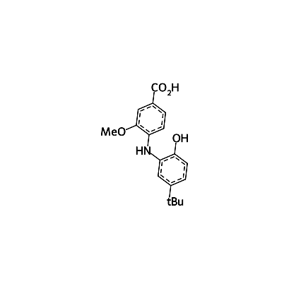 COc1cc(C(=O)O)ccc1Nc1cc(C(C)(C)C)ccc1O